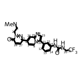 CNCCn1nc(-c2ccn3c(-c4cccc(NC(=O)NCC(F)(F)F)c4)cnc3c2)ccc1=O